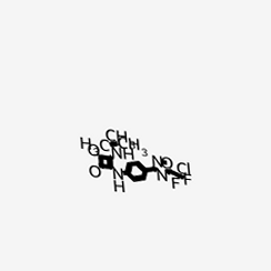 CC(C)(C)Nc1c(Nc2ccc(-c3noc(C(F)(F)Cl)n3)cc2)c(=O)c1=O